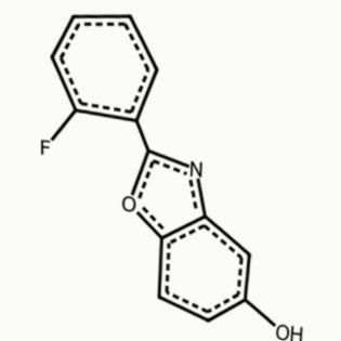 Oc1ccc2oc(-c3ccccc3F)nc2c1